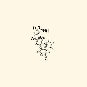 N=C(N)c1cnc2ccc(N3CCC[C@@H]3c3cccc(F)c3)nn12